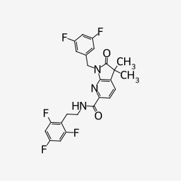 CC1(C)C(=O)N(Cc2cc(F)cc(F)c2)c2nc(C(=O)NCCc3c(F)cc(F)cc3F)ccc21